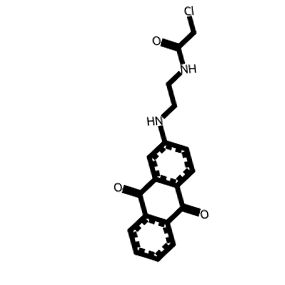 O=C(CCl)NCCNc1ccc2c(c1)C(=O)c1ccccc1C2=O